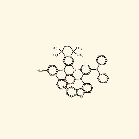 Cc1cc2c3c(c1)N(c1cccc4oc5ccccc5c14)c1cc(N(c4ccccc4)c4ccccc4)ccc1B3c1cc3c(cc1N2c1ccc(C(C)(C)C)cc1-c1ccccc1)C(C)(C)CCC3(C)C